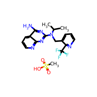 CC(C)N(Cc1cccnc1C(F)(F)F)c1nc(N)c2cccnc2n1.CS(=O)(=O)O